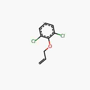 C=CCOc1c(Cl)c[c]cc1Cl